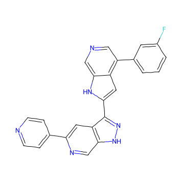 Fc1cccc(-c2cncc3[nH]c(-c4n[nH]c5cnc(-c6ccncc6)cc45)cc23)c1